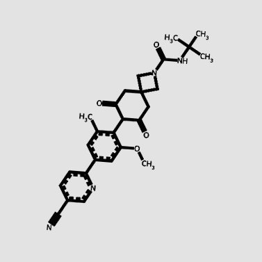 COc1cc(-c2ccc(C#N)cn2)cc(C)c1C1C(=O)CC2(CC1=O)CN(C(=O)NC(C)(C)C)C2